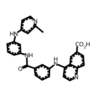 Cc1cc(Nc2cccc(NC(=O)c3cccc(Nc4ccnc5ccc(C(=O)O)cc45)c3)c2)ccn1